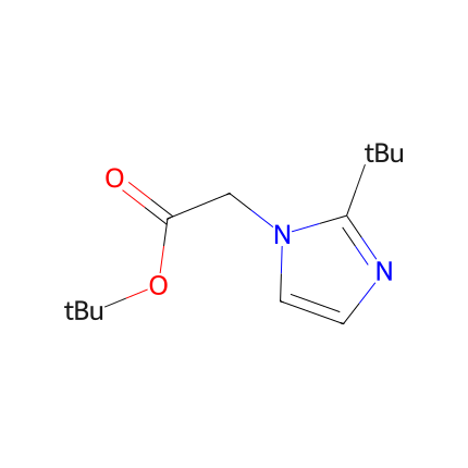 CC(C)(C)OC(=O)Cn1ccnc1C(C)(C)C